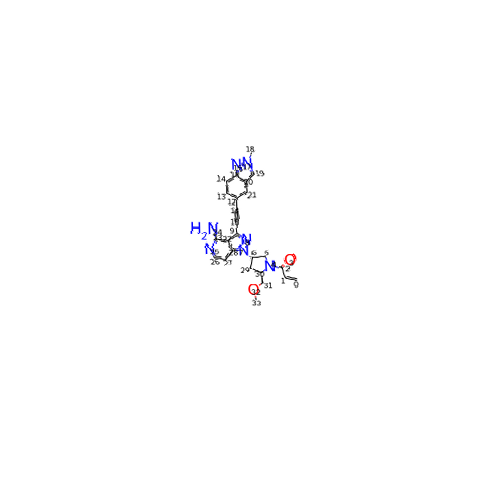 C=CC(=O)N1C[C@@H](n2nc(C#Cc3ccc4nn(C)cc4c3)c3c(N)nccc32)C[C@@H]1COC